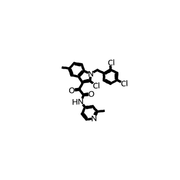 Cc1ccc2c(c1)c(C(=O)C(=O)Nc1ccnc(C)c1)c(Cl)n2Cc1ccc(Cl)cc1Cl